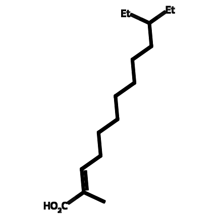 CCC(CC)CCCCCCCC=C(C)C(=O)O